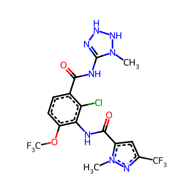 CN1NNN=C1NC(=O)c1ccc(OC(F)(F)F)c(NC(=O)c2cc(C(F)(F)F)nn2C)c1Cl